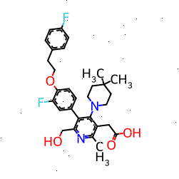 Cc1nc(CO)c(-c2ccc(OCCc3ccc(F)cc3)c(F)c2)c(N2CCC(C)(C)CC2)c1CC(=O)O